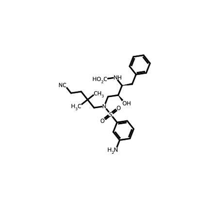 CC(C)(CCC#N)CN(C[C@H](O)[C@H](Cc1ccccc1)NC(=O)O)S(=O)(=O)c1cccc(N)c1